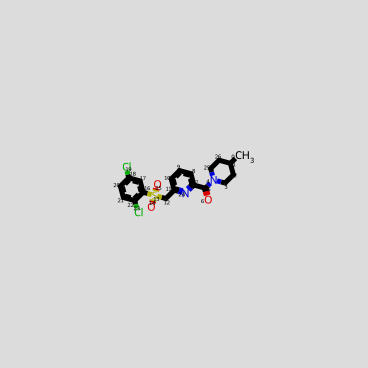 CC1CCN(C(=O)c2cccc(CS(=O)(=O)c3cc(Cl)ccc3Cl)n2)CC1